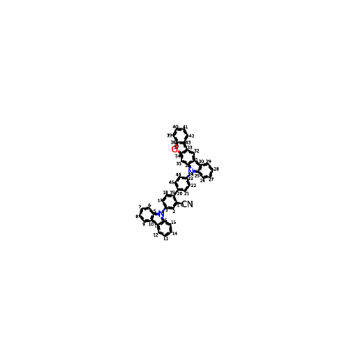 N#Cc1cc(-n2c3ccccc3c3ccccc32)ccc1-c1ccc(-n2c3ccccc3c3cc4c(cc32)oc2ccccc24)cc1